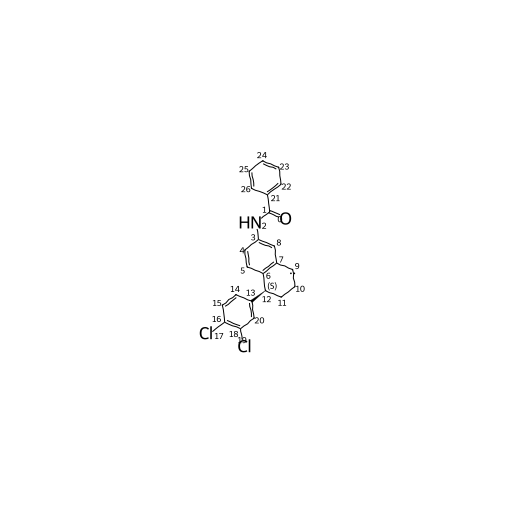 O=C(Nc1ccc2c(c1)[C]CC[C@H]2c1ccc(Cl)c(Cl)c1)c1ccccc1